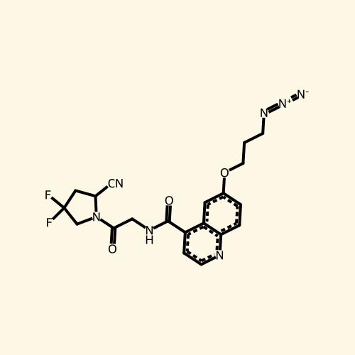 N#CC1CC(F)(F)CN1C(=O)CNC(=O)c1ccnc2ccc(OCCCN=[N+]=[N-])cc12